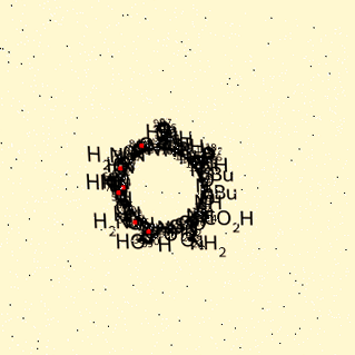 CCCC[C@H]1C(=O)N(C)[C@@H](CCCC)C(=O)N[C@@H](CCC(=O)O)C(=O)NC(C(=O)NCC(N)=O)CSCC(=O)N[C@@H](Cc2ccc(O)cc2)C(=O)N(C)[C@@H](C)C(=O)N[C@@H](CC(N)=O)C(=O)N2CCC[C@H]2C(=O)N[C@@H](Cc2c[nH]cn2)C(=O)N[C@@H](CC(N)=O)C(=O)N2CCC[C@H]2C(=O)N[C@@H](Cc2c[nH]c3ccccc23)C(=O)N[C@@H](CN)C(=O)N[C@@H](Cc2c[nH]c3ccccc23)C(=O)N1C